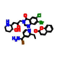 CCc1cc(C(N)=S)ccn1.O=C(C[C@@H]1NCCC[C@H]1O)Cn1cnc2cc(Br)c(Cl)cc2c1=O.O=c1ccc2ccccc2o1